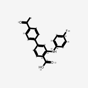 CC(=O)c1ccc(-c2ccc(C(=O)O)c(Nc3ccc(F)cc3)c2)cc1